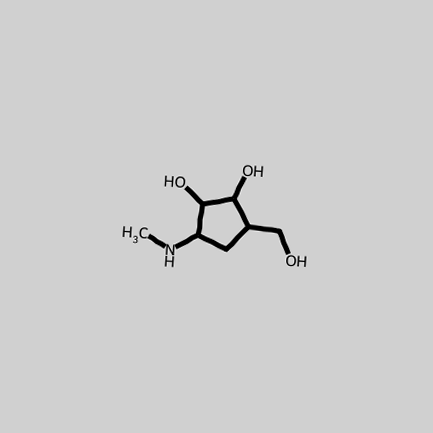 CNC1CC(CO)C(O)C1O